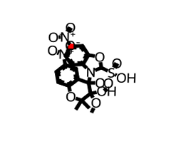 COC1(N2c3ccc([N+](=O)[O-])cc3OC2S(=O)(=O)O)c2cc([N+](=O)[O-])ccc2OC(C)(C)C1(O)OC